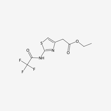 CCOC(=O)Cc1csc(NC(=O)C(F)(F)F)n1